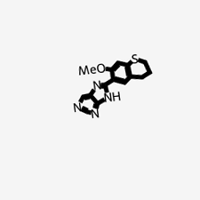 COc1cc2c(cc1-c1nc3cncnc3[nH]1)CCCS2